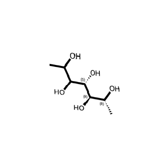 CC(O)C(O)[C@H](O)[C@H](O)[C@@H](C)O